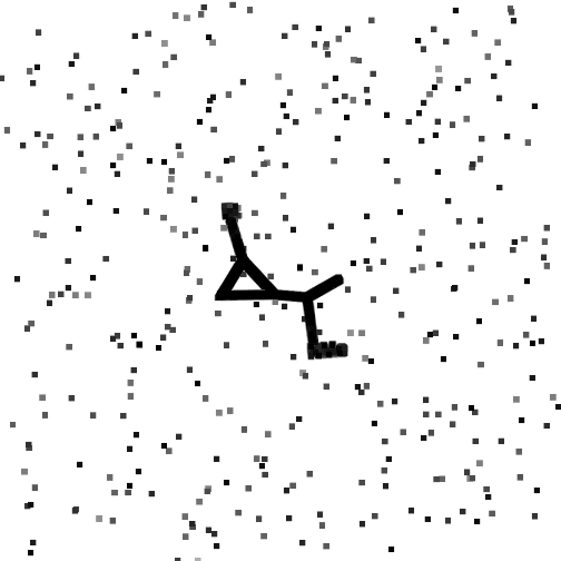 CCC1CC1C(C)NC